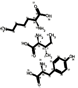 CC[C@H](C)[C@H](N)C(=O)O.NCCCC[C@H](N)C(=O)O.N[C@@H](Cc1ccc(O)cc1)C(=O)O